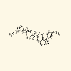 Cc1ccc(N[C@@H]2CCN(S(=O)(=O)c3ccc(-c4cnnc(C)c4)cc3)C[C@@H]2O)nc1